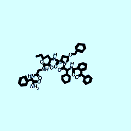 CCCCC(NC(=O)[C@@H]1C[C@@H](OCc2ccccc2)CN1C(=O)C(NC(=O)c1ccccc1C(=O)c1ccccc1)C1CCCCC1)C(=O)C(=O)NCC(=O)NC(C(N)=O)c1ccccc1